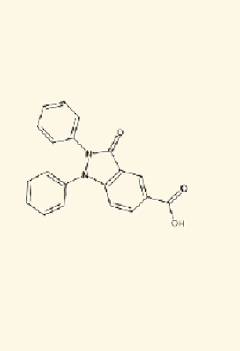 O=C(O)c1ccc2c(c1)c(=O)n(-c1ccccc1)n2-c1ccccc1